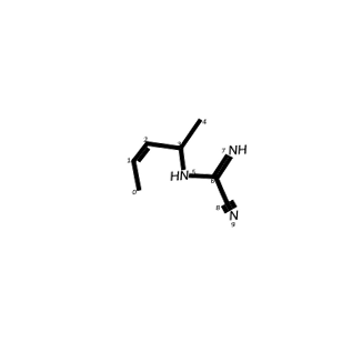 C/C=C\C(C)NC(=N)C#N